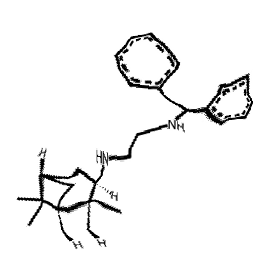 C[C@@H]1[C@H]2C[C@@H](C[C@H]1NCCNC(c1ccccc1)c1ccccc1)C2(C)C